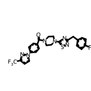 O=C(c1ccc(-n2ccc(C(F)(F)F)n2)cc1)N1CCN(c2nc(Cc3ccc(F)cc3)ns2)CC1